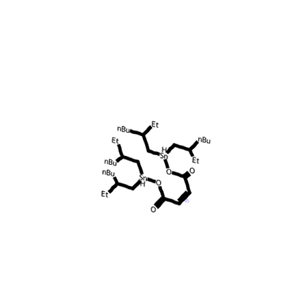 CCCCC(CC)[CH2][SnH]([CH2]C(CC)CCCC)[O]C(=O)/C=C\C(=O)[O][SnH]([CH2]C(CC)CCCC)[CH2]C(CC)CCCC